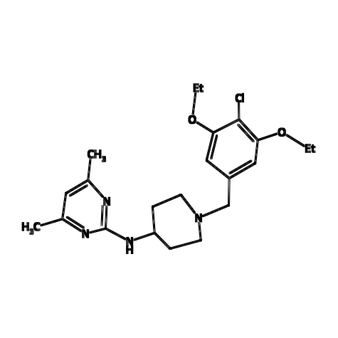 CCOc1cc(CN2CCC(Nc3nc(C)cc(C)n3)CC2)cc(OCC)c1Cl